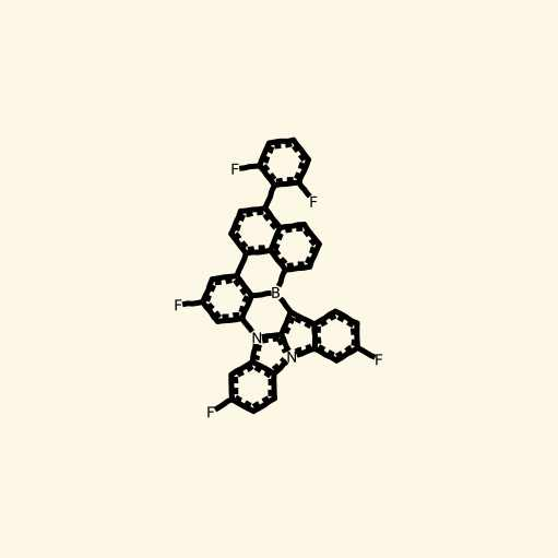 Fc1cc2c3c(c1)-n1c4cc(F)ccc4n4c5cc(F)ccc5c(c14)B3c1cccc3c(-c4c(F)cccc4F)ccc-2c13